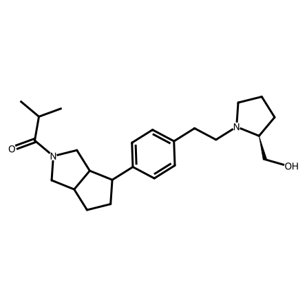 CC(C)C(=O)N1CC2CCC(c3ccc(CCN4CCC[C@H]4CO)cc3)C2C1